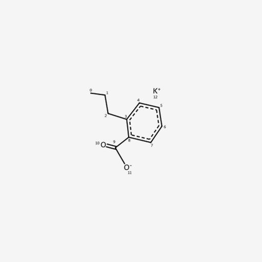 CCCc1ccccc1C(=O)[O-].[K+]